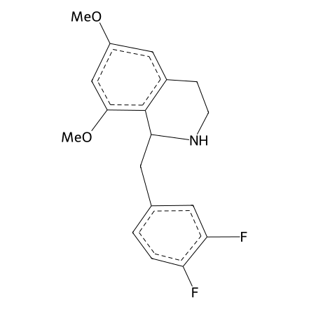 COc1cc2c(c(OC)c1)C(Cc1ccc(F)c(F)c1)NCC2